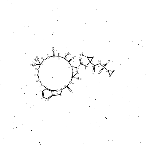 CC[C@@H]1C[C@]1(NC(=O)[C@@H]1C[C@@H]2CN1C(=O)[C@H](C(C)(C)C)NC(=O)OCC(C)(C)CCCCc1cccc3c1CN(C3)C(=O)O2)C(=O)NS(=O)(=O)C1CC1